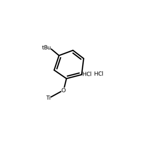 CC(C)(C)c1cccc([O][Ti])c1.Cl.Cl